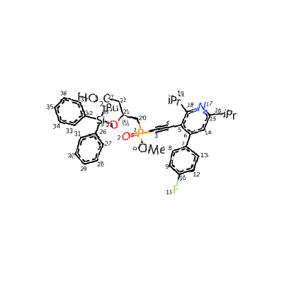 COP(=O)(C#Cc1c(-c2ccc(F)cc2)cc(C(C)C)nc1C(C)C)C[C@H](CC(=O)O)O[Si](c1ccccc1)(c1ccccc1)C(C)(C)C